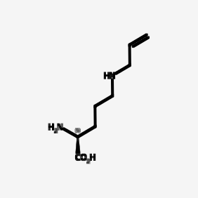 C=CCNCCC[C@H](N)C(=O)O